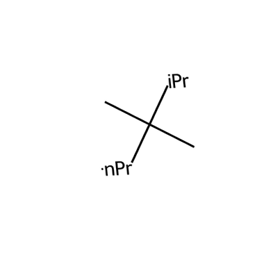 CC[CH]C(C)(C)C(C)C